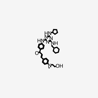 CN(CCO)c1ccc(C=CC(=O)c2ccc(Nc3nc(NCC4CCCCC4)nc(NC4CCCC4)n3)cc2)cc1